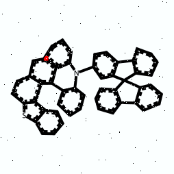 c1ccc(N(c2ccc3c(c2)C2(c4ccccc4-c4ccccc42)c2ccccc2-3)c2ccccc2-c2cccc3ccc4sc5ccccc5c4c23)cc1